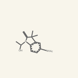 C=C1N(C(C)O)c2ccc(NC(C)=O)cc2C1(C)C